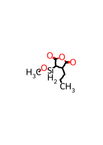 CCCC1C(=O)OC(=O)C1[SiH2]OC